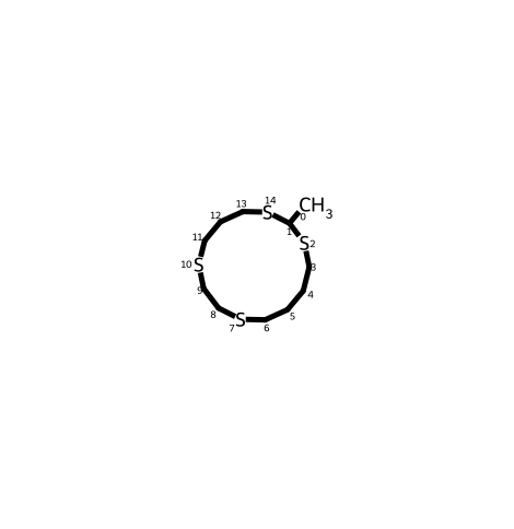 CC1SCCCCSCCSCCCS1